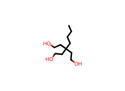 CCCCC(CCO)(CCO)CCO